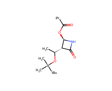 CC(C)C(=O)O[C@H]1NC(=O)[C@@H]1C(C)O[Si](C)(C)C(C)(C)C